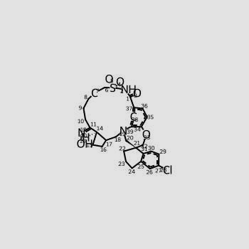 O=C1NS(=O)(=O)CCCCC/C(=N/O)[C@@H]2CCC2CN2C[C@@]3(CCCc4cc(Cl)ccc43)COc3ccc1cc32